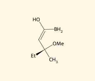 B/C(O)=C\[C@](C)(CC)OC